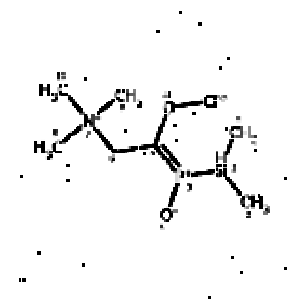 C[SiH](C)/[P+]([O-])=C(/C[N+](C)(C)C)OCl